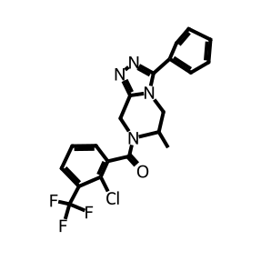 CC1Cn2c(nnc2-c2ccccc2)CN1C(=O)c1cccc(C(F)(F)F)c1Cl